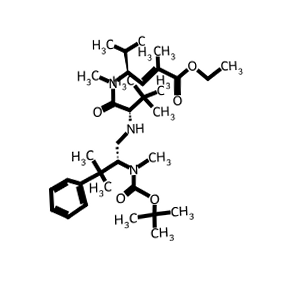 CCOC(=O)/C(C)=C/[C@H](C(C)C)N(C)C(=O)[C@@H](NC[C@H](N(C)C(=O)OC(C)(C)C)C(C)(C)c1ccccc1)C(C)(C)C